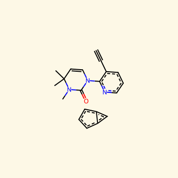 C#Cc1cccnc1N1C=CC(C)(C)N(C)C1=O.c1cc2cc-2c1